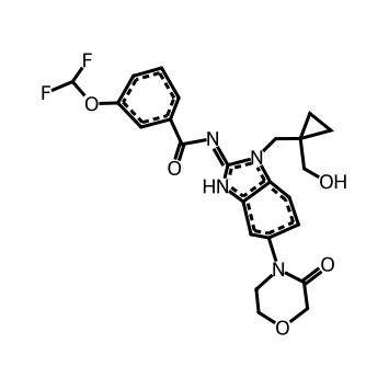 O=C(/N=c1\[nH]c2cc(N3CCOCC3=O)ccc2n1CC1(CO)CC1)c1cccc(OC(F)F)c1